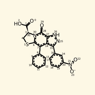 O=C(O)[C@@H]1CSc2c(-c3ccccc3)c3c(-c4cccc([N+](=O)[O-])c4)n[nH]c3c(=O)n21